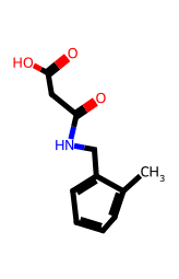 Cc1ccccc1CNC(=O)CC(=O)O